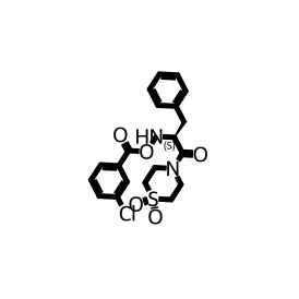 O=C(ON[C@@H](Cc1ccccc1)C(=O)N1CCS(=O)(=O)CC1)c1cccc(Cl)c1